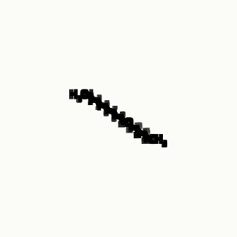 CCCCCCCCCCCOCCCCCC